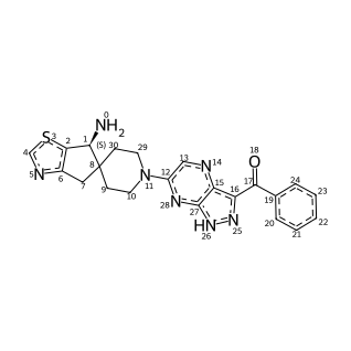 N[C@@H]1c2scnc2CC12CCN(c1cnc3c(C(=O)c4ccccc4)n[nH]c3n1)CC2